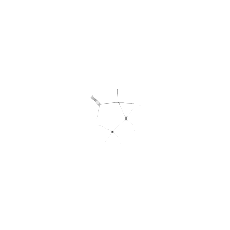 [2H]C1([2H])OC(=O)C2([2H])BC12[2H]